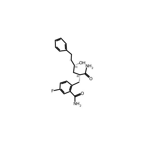 NC(=O)c1cc(F)ccc1C[C@H](C[C@@H](O)[CH]Cc1ccccc1)C(N)=O